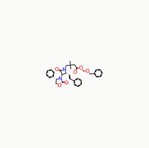 CC(C)(CC(=O)OCOCc1ccccc1)CN1C(=O)[C@H](N2C(=O)OC[C@@H]2c2ccccc2)[C@H]1C=Cc1ccccc1